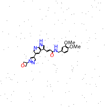 COc1ccc(CNC(=O)/C=C/c2c[nH]c3ncc(-c4cnn(C5COC5)c4)cc23)cc1OC